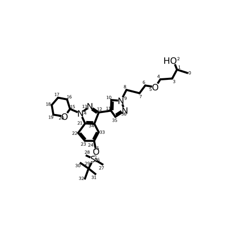 CC(O)CCOCCCn1cc(-c2nn(C3CCCCO3)c3ccc(O[Si](C)(C)C(C)(C)C)cc23)cn1